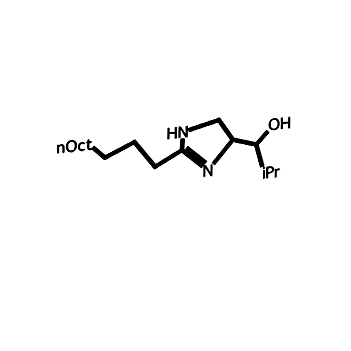 CCCCCCCCCCCC1=NC(C(O)C(C)C)CN1